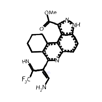 COC(=O)c1n[nH]c2ccc3nc(/C(=C/N)C(=N)C(F)(F)F)c4c(c3c12)CCCC4